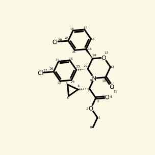 CCOC(=O)[C@H](C1CC1)N1C(=O)CO[C@H](c2cccc(Cl)c2)[C@H]1c1ccc(Cl)cc1